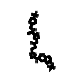 O=C(Cc1cc(OC(F)(F)F)ccc1F)Nc1nnc(CCC(F)Cn2cc(C(=O)NCc3ccc(C(F)(F)I)cn3)nn2)s1